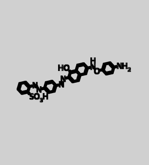 Nc1ccc(ONc2ccc3c(O)c(N=Nc4ccc(N=Nc5ccccc5S(=O)(=O)O)cc4)ccc3c2)cc1